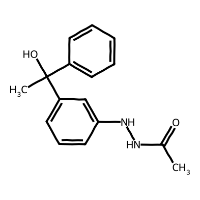 CC(=O)NNc1cccc(C(C)(O)c2ccccc2)c1